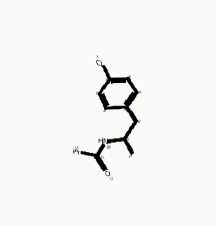 CC(Cc1ccc(Cl)cc1)NC(=O)C(C)C